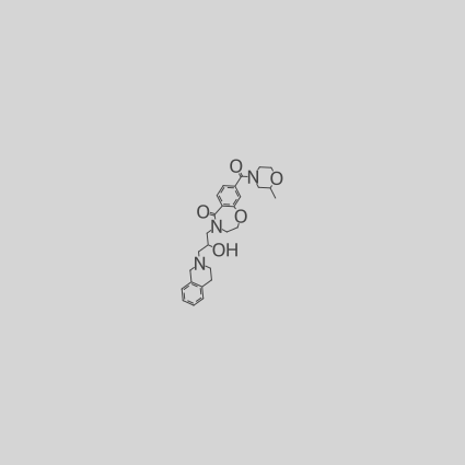 CC1CN(C(=O)c2ccc3c(c2)OCCN(CC(O)CN2CCc4ccccc4C2)C3=O)CCO1